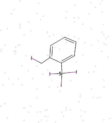 ICc1ccccc1[Si](I)(I)I